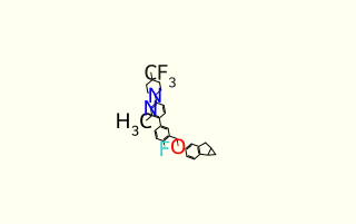 Cc1nc(N2CCC(C(F)(F)F)CC2)ccc1-c1ccc(F)c(COc2ccc3c(c2)CC2CC32)c1